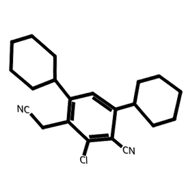 N#CCc1c(C2CCCCC2)cc(C2CCCCC2)c(C#N)c1Cl